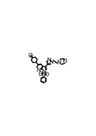 O=C1CCC(c2cnc3c(c2)c(-c2cnn(CCN4CCOCC4)c2)cn3S(=O)(=O)c2ccccc2)CC1